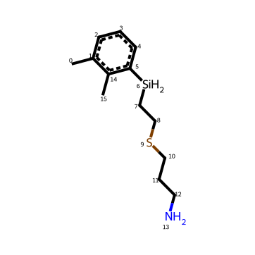 Cc1cccc([SiH2]CCSCCCN)c1C